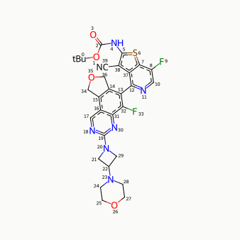 CC(C)(C)OC(=O)Nc1sc2c(F)cnc(-c3c4c(c5cnc(N6CC(N7CCOCC7)C6)nc5c3F)COC4)c2c1C#N